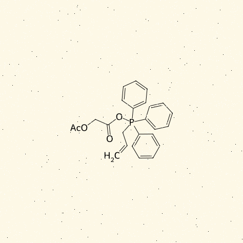 C=CCP(OC(=O)COC(C)=O)(c1ccccc1)(c1ccccc1)c1ccccc1